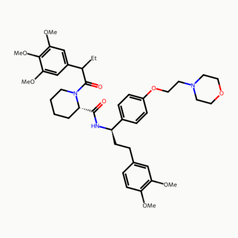 CCC(C(=O)N1CCCC[C@H]1C(=O)N[C@H](CCc1ccc(OC)c(OC)c1)c1ccc(OCCN2CCOCC2)cc1)c1cc(OC)c(OC)c(OC)c1